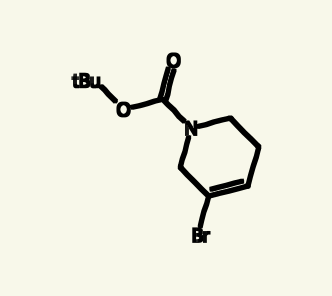 CC(C)(C)OC(=O)N1CCC=C(Br)C1